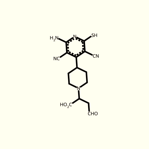 N#Cc1c(N)nc(S)c(C#N)c1C1CCN(C(CC=O)C(=O)O)CC1